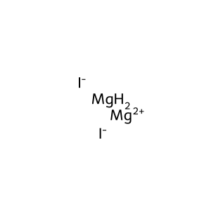 [I-].[I-].[Mg+2].[MgH2]